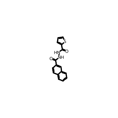 O=C(NNC(=O)c1cccs1)c1ccc2ccccc2c1